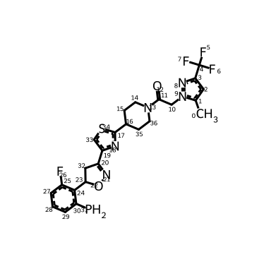 Cc1cc(C(F)(F)F)nn1CC(=O)N1CCC(c2nc(C3=NOC(c4c(F)cccc4P)C3)cs2)CC1